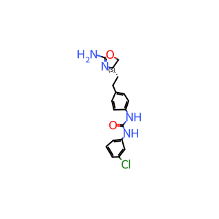 NC1=N[C@@H](CCc2ccc(NC(=O)Nc3cccc(Cl)c3)cc2)CO1